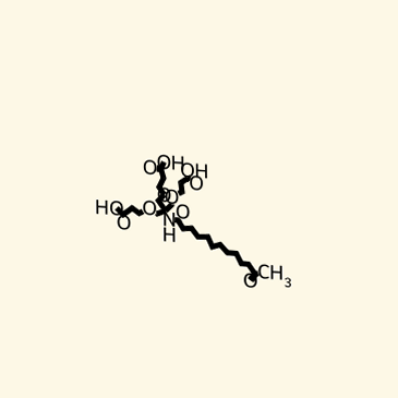 CC(=O)CCCCCCCCCCC(=O)NC(COCCC(=O)O)(COCCC(=O)O)COCCC(=O)O